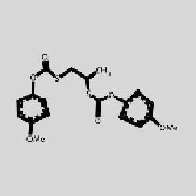 COc1ccc(OC(=O)SCC(C)SC(=O)Oc2ccc(OC)cc2)cc1